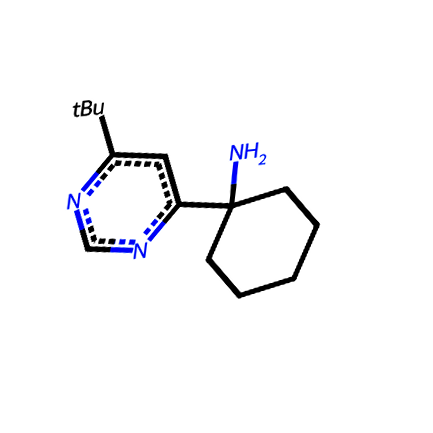 CC(C)(C)c1cc(C2(N)CCCCC2)ncn1